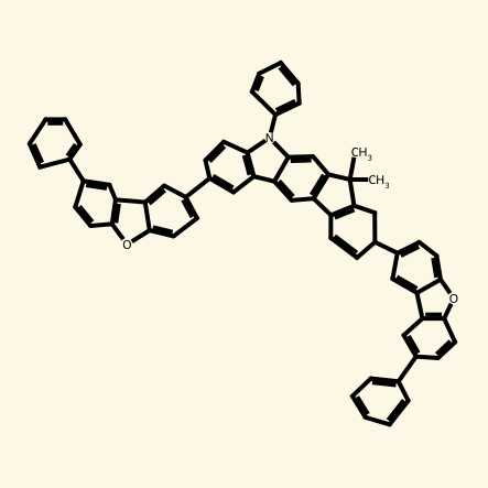 CC1(C)C2=C(C=CC(c3ccc4oc5ccc(-c6ccccc6)cc5c4c3)C2)c2cc3c4cc(-c5ccc6oc7ccc(-c8ccccc8)cc7c6c5)ccc4n(-c4ccccc4)c3cc21